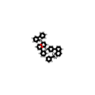 c1ccc(-c2nc3ccc4cccc(-c5ccc(N(c6ccc(-n7c8ccccc8c8ccccc87)cc6)c6ccccc6-c6ccccc6)cc5)c4c3o2)cc1